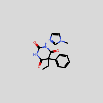 CCC1(c2ccccc2)C(=O)NC(=O)NC1=O.Cn1ccnc1